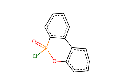 O=P1(Cl)Oc2ccccc2-c2ccccc21